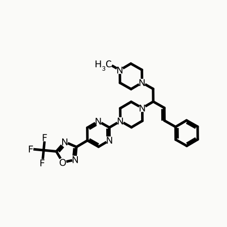 CN1CCN(CC(C=Cc2ccccc2)N2CCN(c3ncc(-c4noc(C(F)(F)F)n4)cn3)CC2)CC1